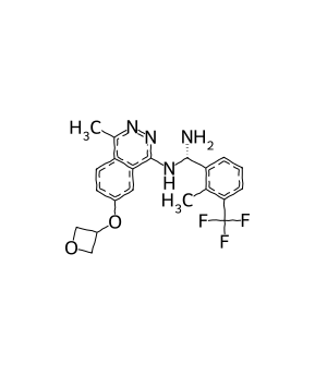 Cc1c([C@@H](N)Nc2nnc(C)c3ccc(OC4COC4)cc23)cccc1C(F)(F)F